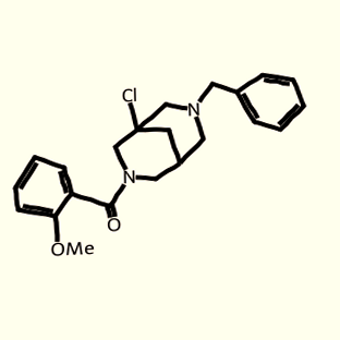 COc1ccccc1C(=O)N1CC2CN(Cc3ccccc3)CC(Cl)(C2)C1